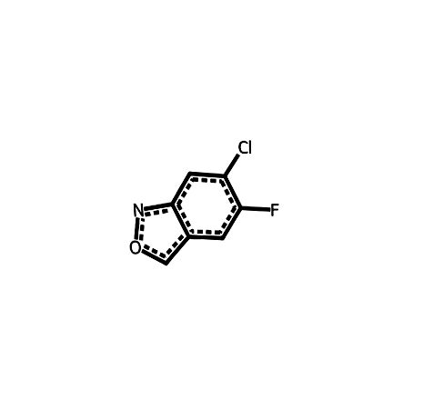 Fc1cc2conc2cc1Cl